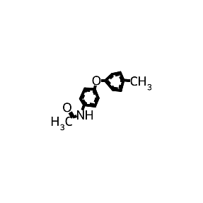 CC(=O)Nc1ccc(Oc2ccc(C)cc2)cc1